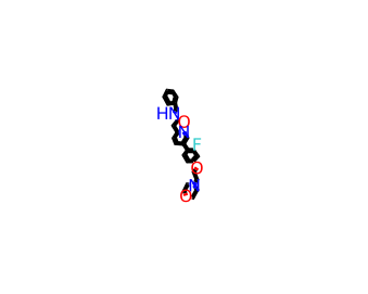 O=C(Cc1ccc(-c2ccc(OCCN3CCOCC3)cc2F)cn1)NCc1ccccc1